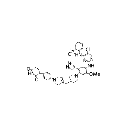 COc1cc(N2CCC(CN3CCN(c4ccc(C5CCC(=O)NC5=O)cc4)CC3)CC2)c(-c2cnn(C)c2)cc1Nc1ncc(Cl)c(Nc2ccccc2P(C)(C)=O)n1